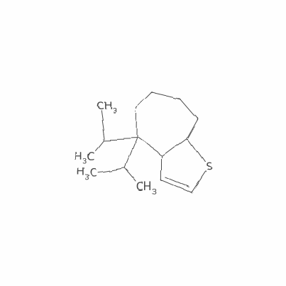 CC(C)C1(C(C)C)CCCCC2SC=CC21